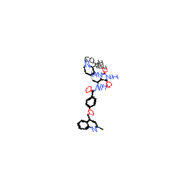 Cc1cc(COc2ccc(C(=O)NC(C[C@@H]3CCN(C(=O)O)[C@@H](C(C)(C)C)C3)C3NC(=O)NC3=O)cc2)c2ccccc2n1